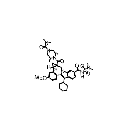 COc1ccc2c(c1)[C@@H]1C[C@]1(C(=O)N1C(C)CN(C(=O)N(C)C)C[C@@H]1C)Cn1c-2c(C2CCCCC2)c2ccc(C(=O)NS(=O)(=O)N(C)C)cc21